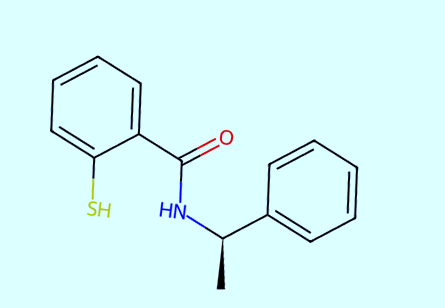 C[C@@H](NC(=O)c1ccccc1S)c1ccccc1